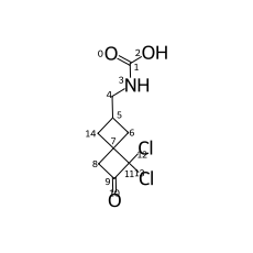 O=C(O)NCC1CC2(CC(=O)C2(Cl)Cl)C1